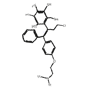 CCN(CC)CCOc1ccc(/C(=C(\CCCl)c2c(S)c(S)c(S)c(S)c2S)c2ccccc2)cc1